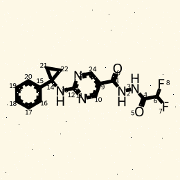 O=C(NNC(=O)C(F)F)c1cnc(NC2(c3ccccc3)CC2)nc1